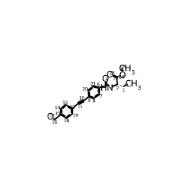 CC[C@H](NC(=O)c1ccc(C#Cc2ccc(C=O)cc2)cc1)C(=O)OC